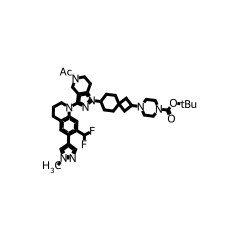 CC(=O)N1CCc2c(c(N3CCCc4cc(-c5cnn(C)c5)c(C(F)F)cc43)nn2C2CCC3(CC2)CC(N2CCN(C(=O)OC(C)(C)C)CC2)C3)C1